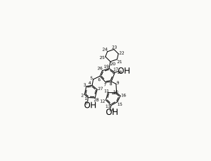 Oc1ccc(Cc2cc(Cc3ccc(O)cc3)c(O)c(C3CCCCC3)c2)cc1